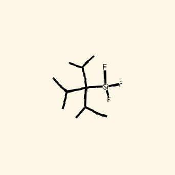 CC(C)C(C(C)C)(C(C)C)[Si](F)(F)F